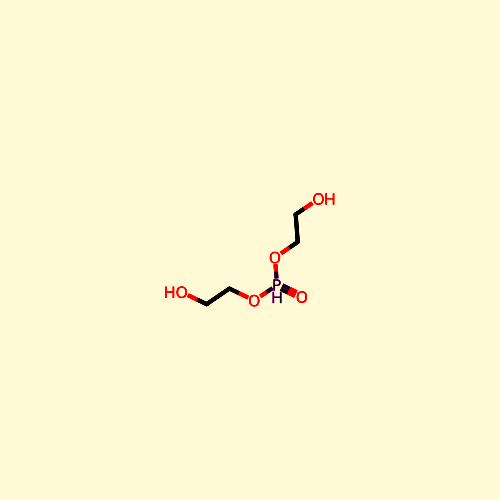 O=[PH](OCCO)OCCO